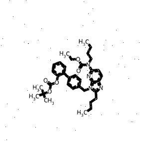 CCCCc1nc2ccc(N(CCCC)C(=O)OCC)nc2n1Cc1ccc(-c2ccccc2OC(=O)OC(C)(C)C)cc1